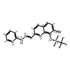 CC(C)(C)[Si](C)(C)Oc1c(Br)ccc2ccc(C=NNc3ccccn3)nc12